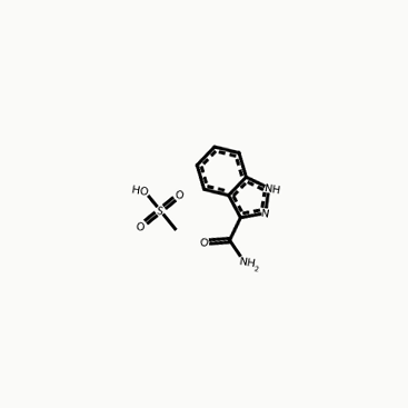 CS(=O)(=O)O.NC(=O)c1n[nH]c2ccccc12